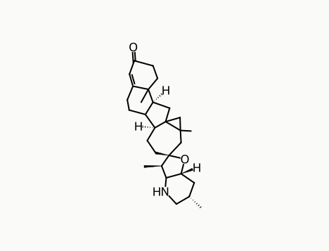 C[C@@H]1CNC2[C@@H](C)[C@@]3(CC[C@H]4C5CCC6=CC(=O)CCC6(C)[C@H]5CC45CC5(C)C3)O[C@@H]2C1